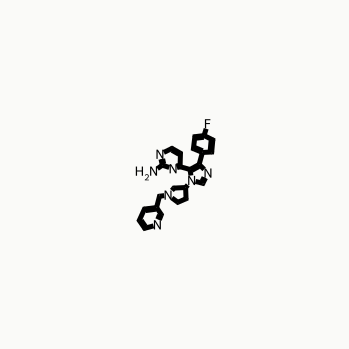 Nc1nccc(-c2c(-c3ccc(F)cc3)ncn2C2CCN(Cc3cccnc3)C2)n1